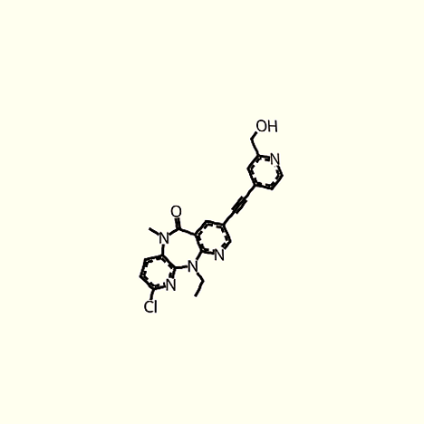 CCN1c2ncc(C#Cc3ccnc(CO)c3)cc2C(=O)N(C)c2ccc(Cl)nc21